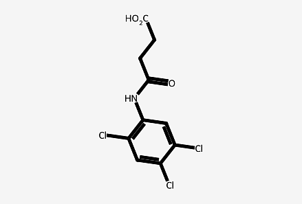 O=C(O)CCC(=O)Nc1cc(Cl)c(Cl)cc1Cl